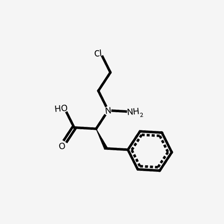 NN(CCCl)[C@@H](Cc1ccccc1)C(=O)O